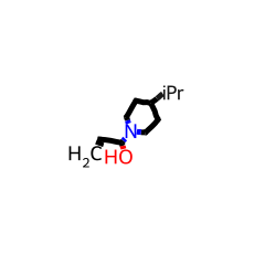 C=CC(O)N1CCC(C(C)C)CC1